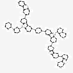 c1ccc(-c2cccc(-n3c4ccc(-c5ccc(-c6ccc7c(c6)c6cc(-c8ccc9sc%10ccc(-c%11cccc%12oc%13ccccc%13c%11%12)cc%10c9c8)ccc6n7-c6cccc7ccccc67)cc5)cc4c4cc(-c5ccc6sc7ccccc7c6c5)ccc43)c2)cc1